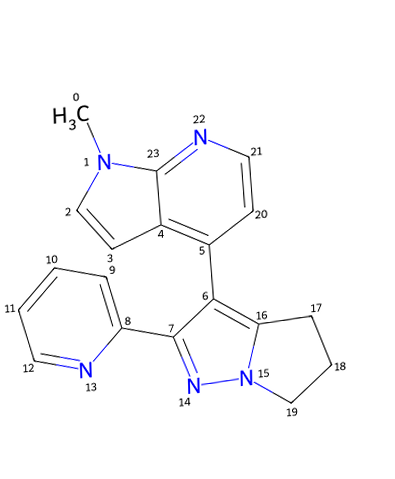 Cn1ccc2c(-c3c(-c4ccccn4)nn4c3CCC4)ccnc21